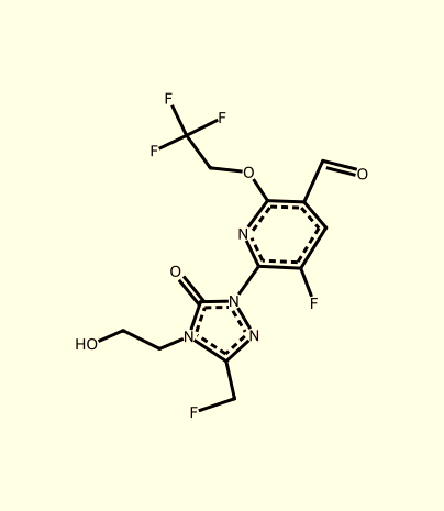 O=Cc1cc(F)c(-n2nc(CF)n(CCO)c2=O)nc1OCC(F)(F)F